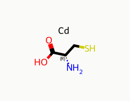 N[C@@H](CS)C(=O)O.[Cd]